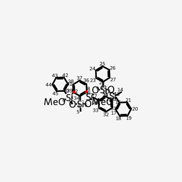 CO[Si](C)(O[Si](C)(O[Si](C)(O[Si](C)(O[Si](C)(OC)c1ccccc1)c1ccccc1)c1ccccc1)c1ccccc1)c1ccccc1